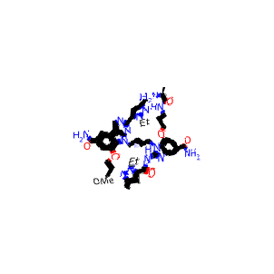 CCn1nc(C)cc1C(=O)Nc1nc2cc(C(N)=O)cc(OCCCNC(=O)[C@H](C)N)c2n1C/C=C/Cn1c2nc(-c3cc(C)nn3CC)ncc2c2cc(C(N)=O)cc(OCCCOC)c21